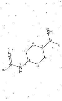 CC(=O)NC1CCC(C(C)S)CC1